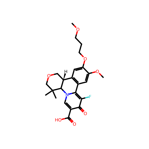 COCCCOc1cc2c(cc1OC)-c1c(F)c(=O)c(C(=O)O)cn1C1[C@@H]2COCC1(C)C